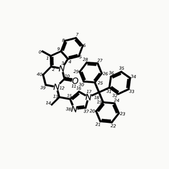 Cc1c2n(c3ccccc13)C(=O)N(C(C)c1cn(C(c3ccccc3)(c3ccccc3)c3ccccc3)cn1)CC2